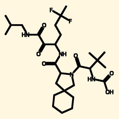 CC(C)CNC(=O)C(=O)C(CCC(C)(F)F)NC(=O)C1CC2(CCCCC2)CN1C(=O)C(NC(=O)O)C(C)(C)C